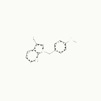 COc1ccc(Cn2cc(I)c3cccnc32)cc1